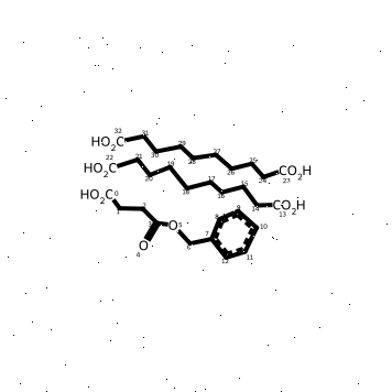 O=C(O)CCC(=O)OCc1ccccc1.O=C(O)CCCCCCCCC(=O)O.O=C(O)CCCCCCCCC(=O)O